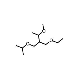 CCOCC(COC(C)C)C(C)OC